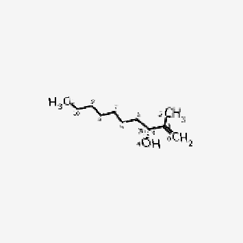 C=C(C)[C@H](O)CCCCCCC